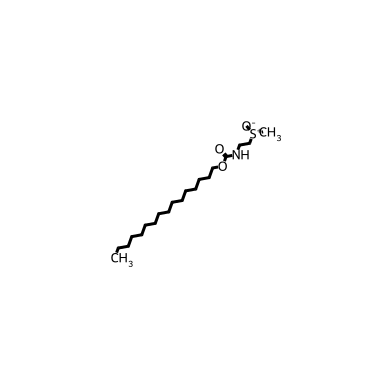 CCCCCCCCCCCCCCCCOC(=O)NCC[S+](C)[O-]